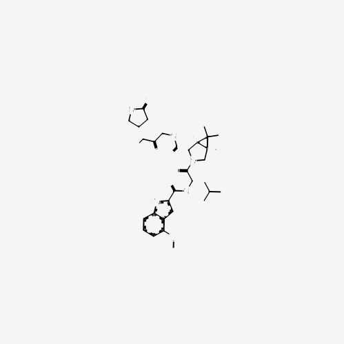 COc1cccc2[nH]c(C(=O)N[C@@H](CC(C)C)C(=O)N3C[C@H]4[C@@H]([C@H]3C(=O)N[C@@H](C[C@@H]3CCNC3=O)C(=O)CO)C4(C)C)cc12